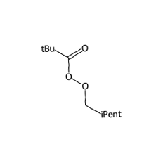 CCCC(C)COOC(=O)C(C)(C)C